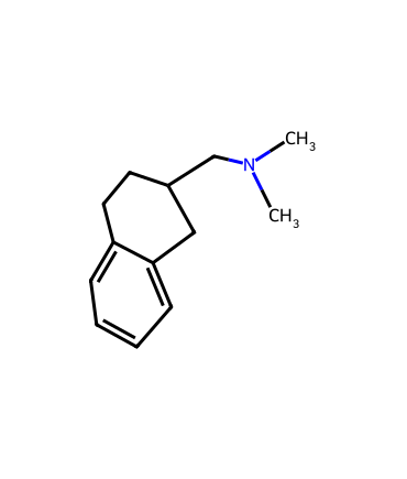 CN(C)CC1CCc2ccccc2C1